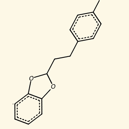 Brc1ccc(CCC2Oc3[c]cccc3O2)cc1